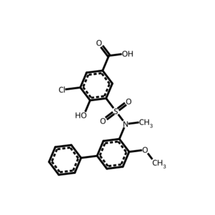 COc1ccc(-c2ccccc2)cc1N(C)S(=O)(=O)c1cc(C(=O)O)cc(Cl)c1O